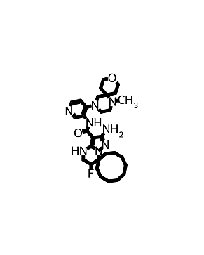 CN1CCN(c2ccncc2NC(=O)c2c(N)nn3c2NCC(F)C32CCCCCCCCC2)CC12CCOCC2